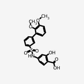 COc1cccc(-c2cccc(S(=O)(=O)Nc3ccc(C(=O)O)c(O)c3)c2)c1OC